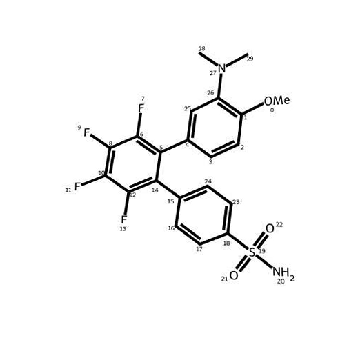 COc1ccc(-c2c(F)c(F)c(F)c(F)c2-c2ccc(S(N)(=O)=O)cc2)cc1N(C)C